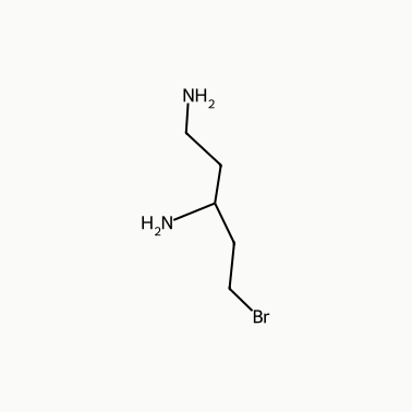 NCCC(N)CCBr